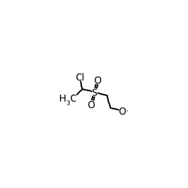 CC(Cl)S(=O)(=O)CC[O]